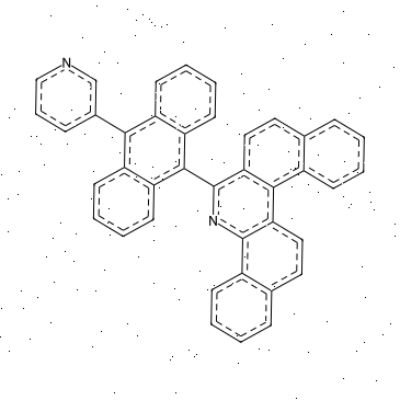 c1cncc(-c2c3ccccc3c(-c3nc4c5ccccc5ccc4c4c3ccc3ccccc34)c3ccccc23)c1